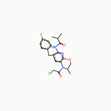 CC(C)C(=O)Nc1nc2c(cc1Cc1ccc(F)cc1)N(C(=O)CCl)C(C)CO2